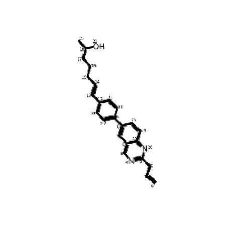 C=CCc1ncc2cc(-c3ccc(C=CCCCC(C)O)cc3)ccc2n1